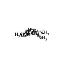 CCCCCCOC1(OCCCCCC)CC[C@H]2[C@@H]3CCc4cc(OC)ccc4[C@H]3CC[C@@]21C